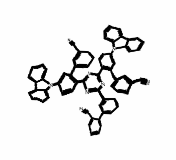 N#Cc1cccc(-c2cc(-n3c4ccccc4c4ccccc43)ccc2-c2nc(-c3cccc(-c4ccccc4C#N)c3)nc(-c3ccc(-n4c5ccccc5c5ccccc54)cc3-c3cccc(C#N)c3)n2)c1